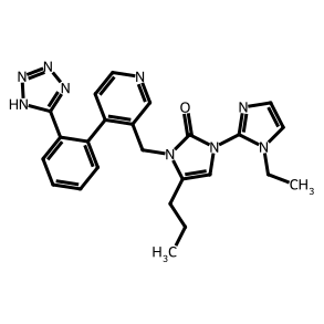 CCCc1cn(-c2nccn2CC)c(=O)n1Cc1cnccc1-c1ccccc1-c1nnn[nH]1